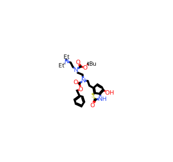 CCN(CC)CCN(CCN(CCc1ccc(O)c2[nH]c(=O)sc12)C(=O)OCc1ccccc1)C(=O)OC(C)(C)C